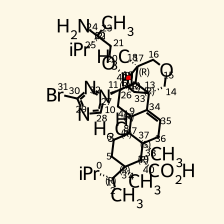 CC(C)[C@@H](C)[C@@]1(C)CC[C@]2(C)[C@H]3CC[C@@H]4[C@@]5(COC[C@]4(C)[C@@H](OC[C@](C)(N)C(C)C)[C@H](n4cnc(Br)n4)C5)C3=CC[C@@]2(C)[C@@H]1C(=O)O